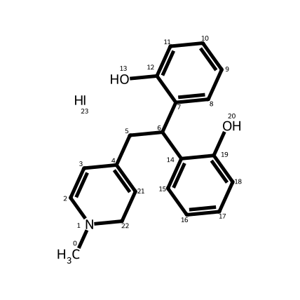 CN1C=CC(CC(c2ccccc2O)c2ccccc2O)=CC1.I